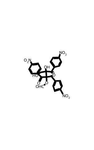 O=COC(C(=O)c1ccc([N+](=O)[O-])cc1)(C(=O)c1ccc([N+](=O)[O-])cc1)C(O)(CO)C(=O)c1ccc([N+](=O)[O-])cc1